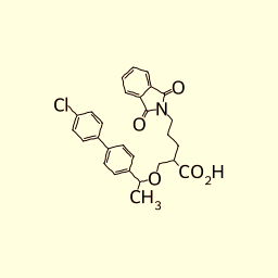 CC(OCC(CCCN1C(=O)c2ccccc2C1=O)C(=O)O)c1ccc(-c2ccc(Cl)cc2)cc1